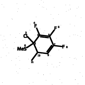 CSC1(Cl)C(F)=C(F)C(F)=CC1C